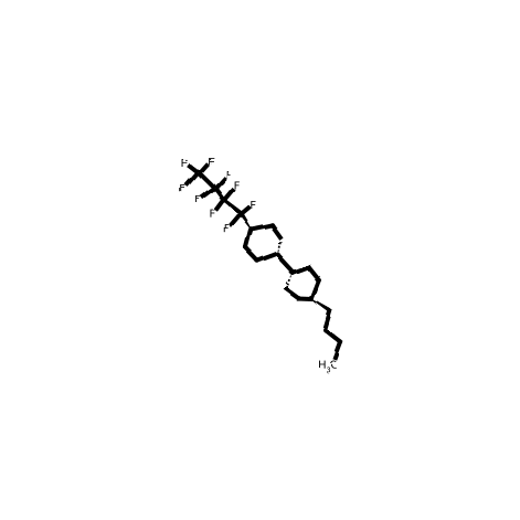 CCCC[C@H]1CC[C@H]([C@H]2CC[C@H](C(F)(F)C(F)(F)C(F)(F)C(F)(F)F)CC2)CC1